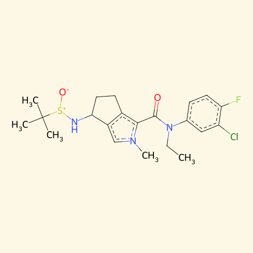 CCN(C(=O)c1c2c(cn1C)C(N[S+]([O-])C(C)(C)C)CC2)c1ccc(F)c(Cl)c1